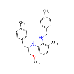 COCC(Cc1ccc(C)cc1)Nc1cccc(C)c1NCc1ccc(C)cc1